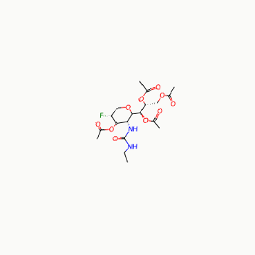 CCNC(=O)N[C@@H]1C(OC(C)=O)[C@H](F)COC1[C@H](OC(C)=O)[C@@H](COC(C)=O)OC(C)=O